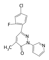 Cc1cc(-c2ccc(Cl)cc2F)nn(-c2cccnc2)c1=O